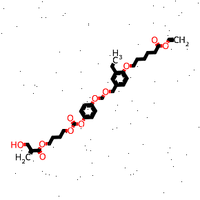 C=COC(=O)CCCCCOc1ccc(COCOc2ccc(OC(=O)OCCCCOC(=O)C(=C)CO)cc2)cc1CC